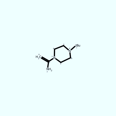 C=C(N)N1CCN(C(C)(C)C)CC1